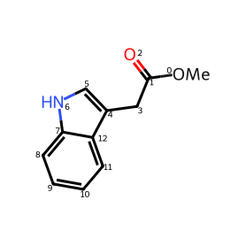 [CH2]OC(=O)Cc1c[nH]c2ccccc12